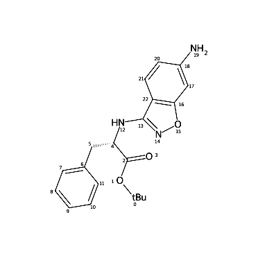 CC(C)(C)OC(=O)[C@H](Cc1ccccc1)Nc1noc2cc(N)ccc12